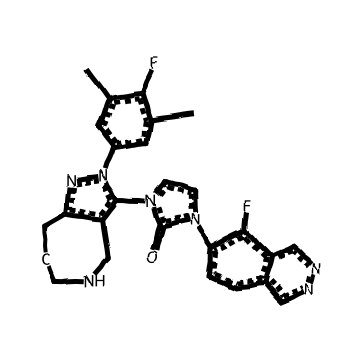 Cc1cc(-n2nc3c(c2-n2ccn(-c4ccc5cnncc5c4F)c2=O)CNCCC3)cc(C)c1F